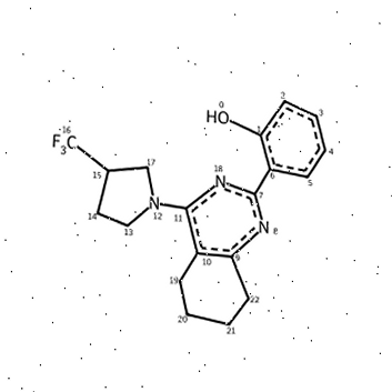 Oc1ccccc1-c1nc2c(c(N3CCC(C(F)(F)F)C3)n1)CCCC2